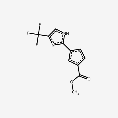 COC(=O)c1ccc(-c2nc(C(F)(F)F)c[nH]2)s1